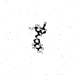 CC1NC(=O)C2(CCN(Cc3nn4cnc(C#N)nc4c3CC(C)(C)C)CC2)NC1=O